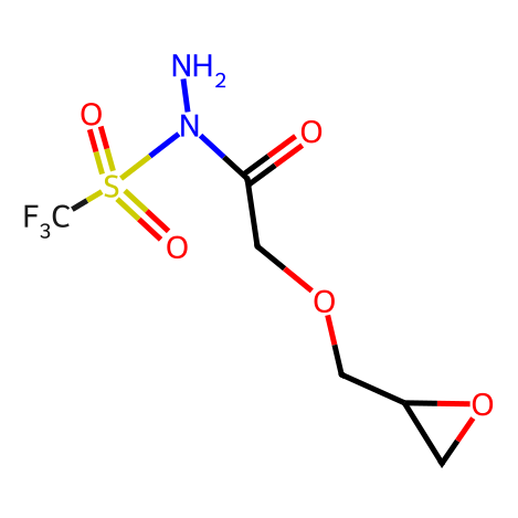 NN(C(=O)COCC1CO1)S(=O)(=O)C(F)(F)F